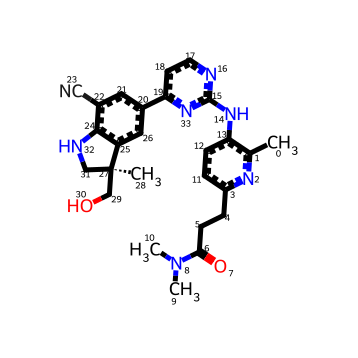 Cc1nc(CCC(=O)N(C)C)ccc1Nc1nccc(-c2cc(C#N)c3c(c2)[C@@](C)(CO)CN3)n1